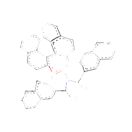 CC(c1ccc2ccccc2c1)N(C(C)c1ccc2ccccc2c1)p1oc2ccc3ccccc3c2c2c(ccc3ccccc32)o1